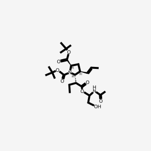 CC=C[C@@H]1C[C@H](C(=O)OC(C)(C)C)N(C(=O)OC(C)(C)C)[C@H]1C(CC)C(=O)OC(CO)NC(C)=O